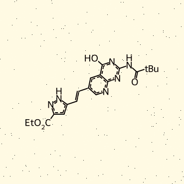 CCOC(=O)c1cc(/C=C/c2cnc3nc(NC(=O)C(C)(C)C)nc(O)c3c2)[nH]n1